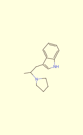 CC(Cc1c[nH]c2ccccc12)N1CCCC1